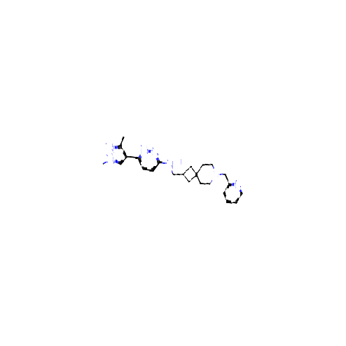 Cc1nn(C)cc1-c1ccc(NCC2CC3(CCN(Cc4ccccn4)CC3)C2)nn1